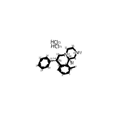 Cc1cccc2c1[C@@H]1CNCCN1C[C@@H]2c1ccccc1.Cl.Cl